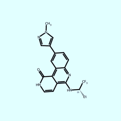 CC[C@H](Nc1nc2ccc(-c3cnn(C)c3)cc2c2c(=O)[nH]ccc12)C(F)(F)F